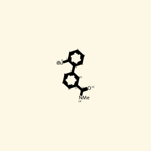 CCC(C)c1ccccc1-c1cccc(C(=O)NC)c1